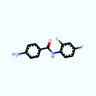 Nc1ccc(C(=O)Nc2ccc(F)cc2F)cc1